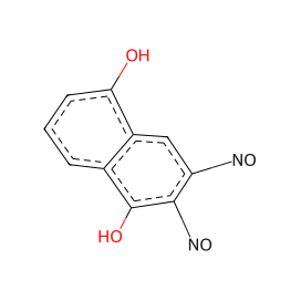 O=Nc1cc2c(O)cccc2c(O)c1N=O